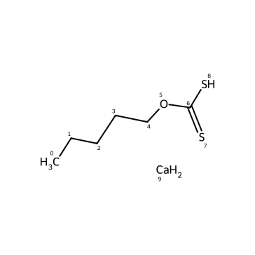 CCCCCOC(=S)S.[CaH2]